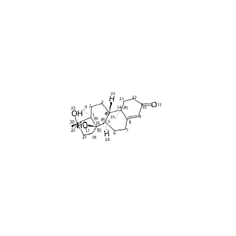 C[C@]12CC[C@H]3[C@@H](CCC4=CC(=O)CC[C@@]43C)[C@]1(O)CC[C@]2(C)O